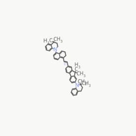 CC1(C)CCN(c2cccc3c2=CCCC=3/C=C/c2ccc3c(c2)C(C)(C)c2cc(N4c5ccccc5CCC4(C)C)ccc2-3)c2ccccc21